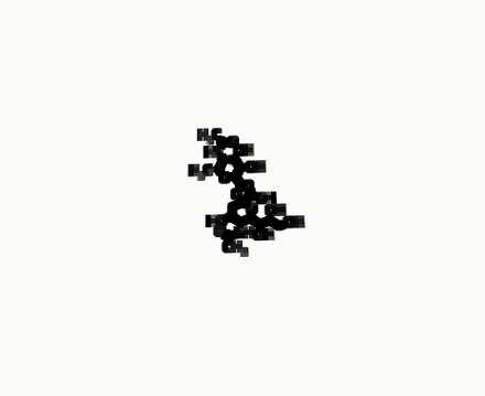 CC(=O)NC1[C@@H](O)C(O)C(COC2(C(=O)O)CC(O)[C@@H](NC(C)=O)C([C@H](O)[C@H](O)CO)O2)O[C@@H]1C